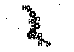 Cc1c(NC(=O)c2ccc(C(C)(C)O)cc2)cccc1-c1cc(NC(=O)NCCCN(C)C)c2nccn2n1